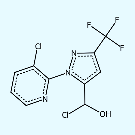 OC(Cl)c1cc(C(F)(F)F)nn1-c1ncccc1Cl